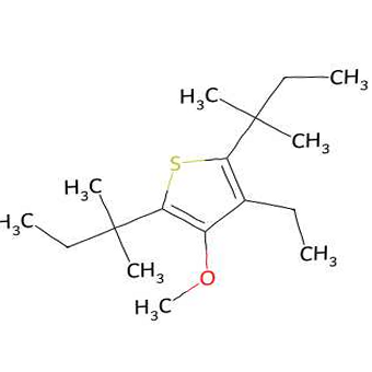 CCc1c(C(C)(C)CC)sc(C(C)(C)CC)c1OC